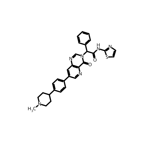 CN1CCC(c2ccc(-c3cnc4c(=O)n(C(C(=O)Nc5nccs5)c5ccccc5)cnc4c3)cc2)CC1